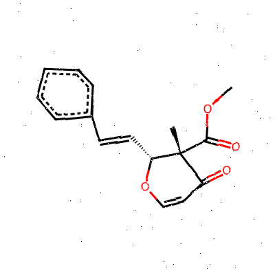 COC(=O)[C@]1(C)C(=O)C=CO[C@@H]1/C=C/c1ccccc1